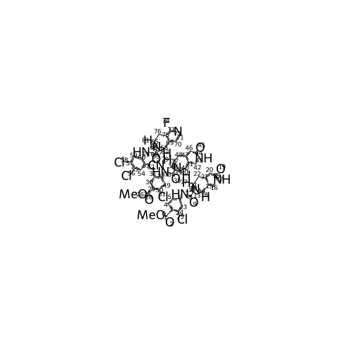 COC(=O)c1ccc(NC(=O)N2[C@@H]3CC[C@H]2c2c[nH]c(=O)cc2C3)cc1Cl.COC(=O)c1ccc(NC(=O)N2[C@H]3CC[C@@H]2c2c[nH]c(=O)cc2C3)cc1Cl.N#Cc1cc(Cl)c(Cl)cc1NC(=O)N1[C@H]2CC[C@@H]1c1ccnc(F)c1C2